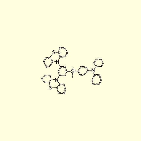 C[Si](C)(c1ccc(N(c2ccccc2)c2ccccc2)cc1)c1cc(N2c3ccccc3Sc3ccccc32)cc(N2c3ccccc3Sc3ccccc32)c1